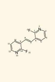 Fc1ncccc1C=Cc1cccnc1F